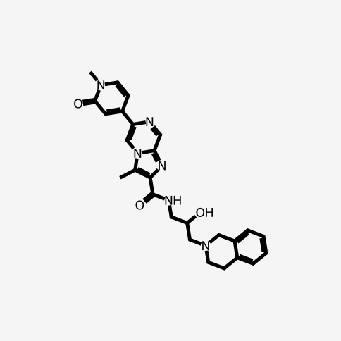 Cc1c(C(=O)NCC(O)CN2CCc3ccccc3C2)nc2cnc(-c3ccn(C)c(=O)c3)cn12